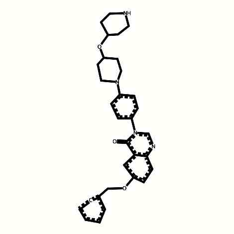 O=c1c2cc(OCc3ccccc3)ccc2ncn1-c1ccc(N2CCC(OC3CCNCC3)CC2)cc1